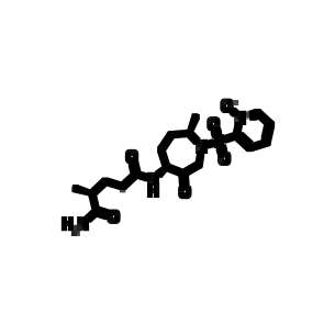 C[C@@H]1CC[C@H](NC(=O)[CH]C[C@H](C)C(N)=O)C(=O)CN1S(=O)(=O)c1cccc[n+]1[O-]